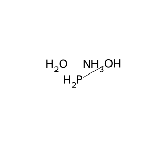 N.O.OP